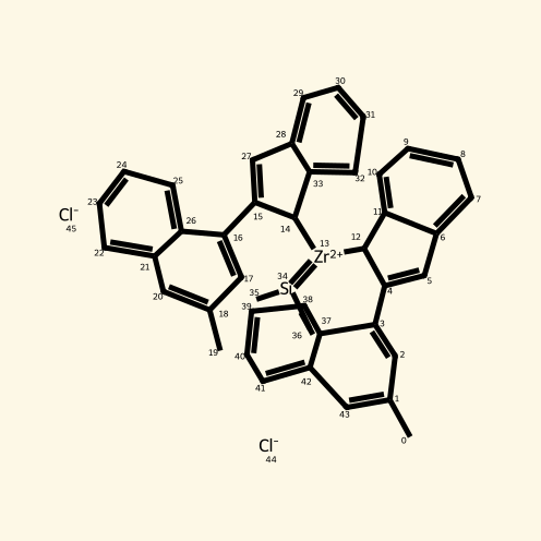 Cc1cc(C2=Cc3ccccc3[CH]2[Zr+2]([CH]2C(c3cc(C)cc4ccccc34)=Cc3ccccc32)=[Si](C)C)c2ccccc2c1.[Cl-].[Cl-]